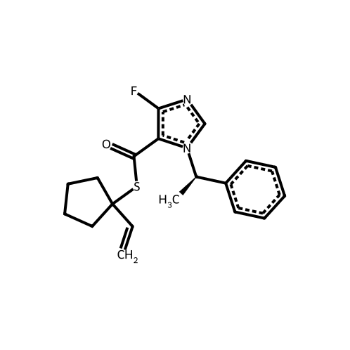 C=CC1(SC(=O)c2c(F)ncn2[C@H](C)c2ccccc2)CCCC1